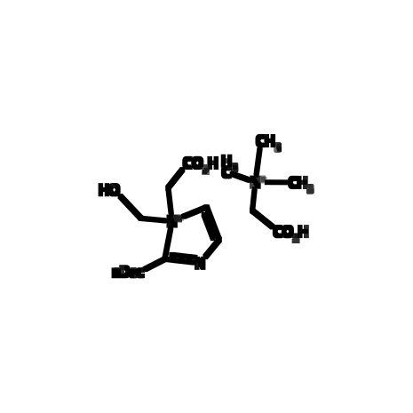 CCCCCCCCCCC1=NC=C[N+]1(CO)CC(=O)O.C[N+](C)(C)CC(=O)O